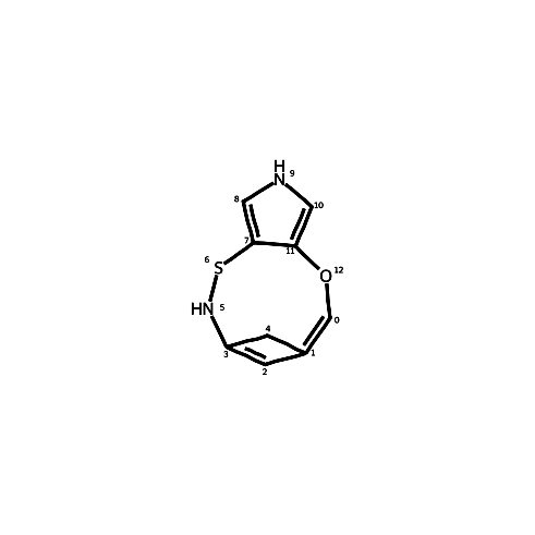 C1=C2C=C(C2)NSc2c[nH]cc2O1